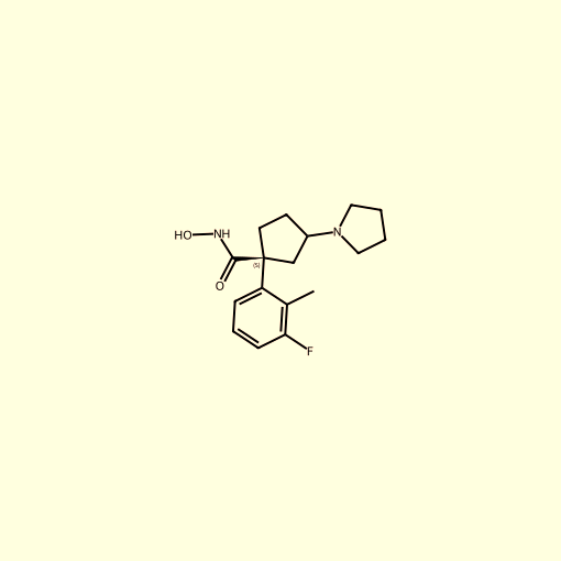 Cc1c(F)cccc1[C@]1(C(=O)NO)CCC(N2CCCC2)C1